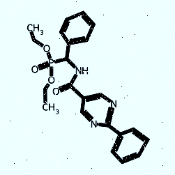 CCOP(=O)(OCC)C(NC(=O)c1cnc(-c2ccccc2)nc1)c1ccccc1